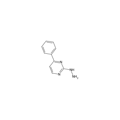 NNc1nccc(-c2ccccc2)n1